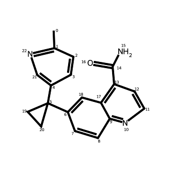 Cc1ccc(C2(c3ccc4nccc(C(N)=O)c4c3)CC2)cn1